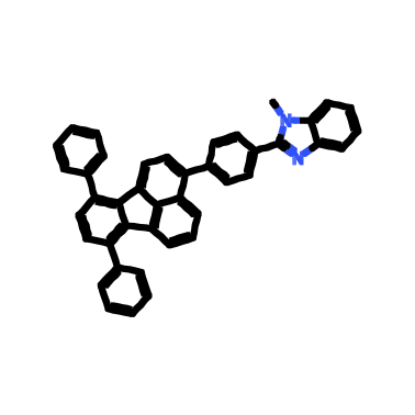 Cn1c(-c2ccc(-c3ccc4c5c(cccc35)-c3c(-c5ccccc5)ccc(-c5ccccc5)c3-4)cc2)nc2ccccc21